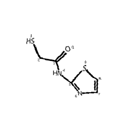 O=C(CS)Nc1nccs1